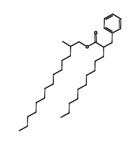 CCCCCCCCCCCCC(C)COC(=O)C(CCCCCCCCCC)Cc1ccccc1